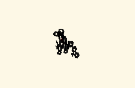 CC1(C)c2ccccc2-c2ccc(-c3cccc(N(c4ccc(-n5c6c(c7ccccc75)CCC=C6)cc4)c4ccccc4-c4cccc5c4-c4ccccc4C5(C)C)c3)cc21